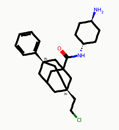 N[C@H]1CC[C@H](NC(=O)C23CC4C[C@@](CCCl)(C2)C[C@](c2ccccc2)(C4)C3)CC1